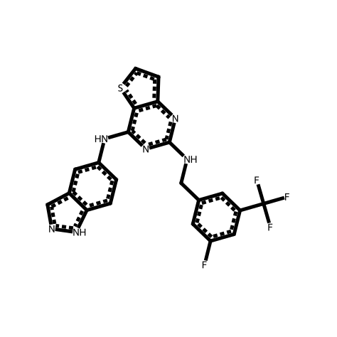 Fc1cc(CNc2nc(Nc3ccc4[nH]ncc4c3)c3sccc3n2)cc(C(F)(F)F)c1